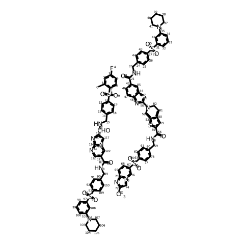 Cc1cc(F)ccc1S(=O)(=O)c1ccc(CNC=O)cc1.O=C(NCc1ccc(S(=O)(=O)c2cccc(N3CCCCC3)c2)cc1)c1ccc2nc(N3C=c4sc(C(=O)NCc5ccc(S(=O)(=O)c6ccc7nc(C(F)(F)F)cn7c6)cc5)cc4=CC3)sc2c1.O=C(NCc1ccc(S(=O)(=O)c2cccc(N3CCCCC3)c2)cc1)c1cnc2nccn2c1